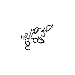 CN1CCN(C(=O)Cc2ccc(N/C(=C3\C(=O)Nc4cc(Cl)ccc43)c3ccc4cccnc4c3)cc2)CC1